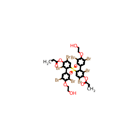 C=CC(=O)Oc1c(Br)cc(S(=O)(=O)c2cc(Br)c(OC(=O)C=C)c(Br)c2-c2cc(Br)c(OCCO)c(Br)c2)c(-c2cc(Br)c(OCCO)c(Br)c2)c1Br